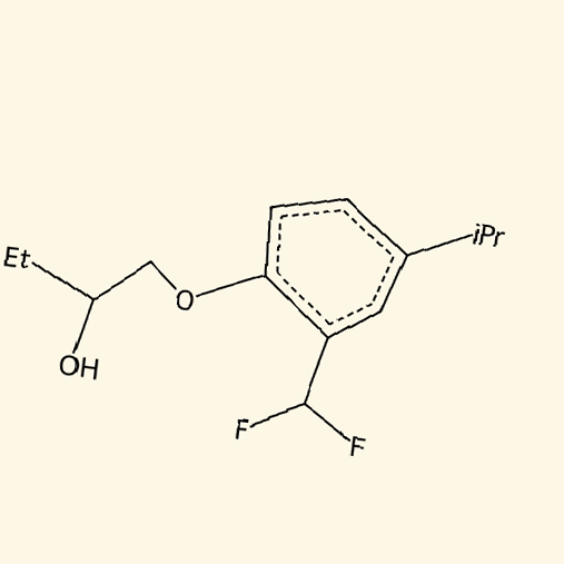 CCC(O)COc1ccc(C(C)C)cc1C(F)F